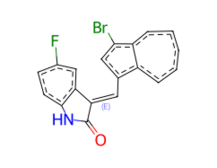 O=C1Nc2ccc(F)cc2/C1=C\c1cc(Br)c2cccccc1-2